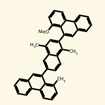 COc1cccc2c1c(-c1cc(C)c3cc(-c4cc5ccccc5c5cccc(C)c45)ccc3c1C)cc1ccccc12